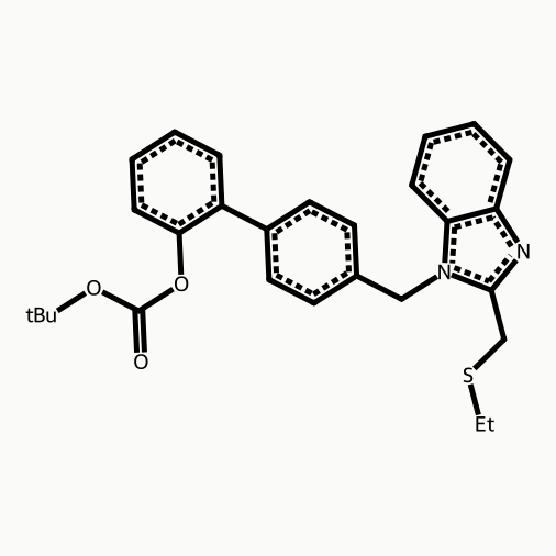 CCSCc1nc2ccccc2n1Cc1ccc(-c2ccccc2OC(=O)OC(C)(C)C)cc1